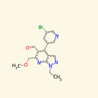 CCn1ncc2c(-c3cncc(Br)c3)c(C=O)c(COC)nc21